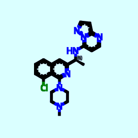 C[C@H](Nc1ccnc2ccnn12)c1cc2cccc(Cl)c2c(N2CCN(C)CC2)n1